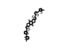 Cc1ccc(-c2ccc(-c3cc4c(s3)-c3c(C)c5c(c(C)c3C4)-c3sc(-c4ccc(-c6ccc(C)s6)s4)cc3C5)s2)s1